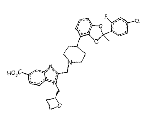 CC1(c2ccc(Cl)cc2F)Oc2cccc(C3CCN(Cc4nc5cc(C(=O)O)ccc5n4C[C@@H]4CCO4)CC3)c2O1